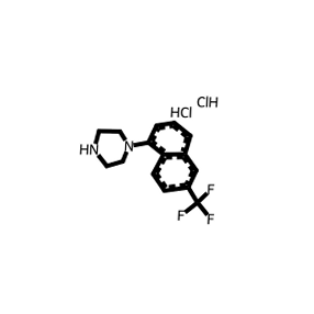 Cl.Cl.FC(F)(F)c1ccc2c(N3CCNCC3)cccc2c1